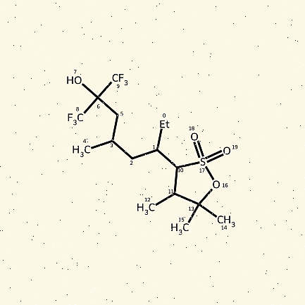 CCC(CC(C)CC(O)(C(F)(F)F)C(F)(F)F)C1C(C)C(C)(C)OS1(=O)=O